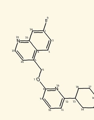 Fc1ccc2c(COc3cccc(C4CCNCC4)n3)ccnc2c1